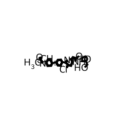 CS(C)(=O)=Nc1ccc(-c2ccc(-c3nc4cc(O[C@@H]5COC(CO)C5)[nH]c4cc3Cl)cc2)cc1